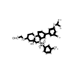 O=CCOC1CCN2c3ccc(-c4cc(F)cc(OC(F)F)c4)cc3N(S(=O)(=O)c3cccc(C(F)(F)F)c3)C[C@@H]2C1